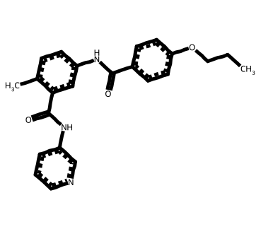 CCCOc1ccc(C(=O)Nc2ccc(C)c(C(=O)Nc3cccnc3)c2)cc1